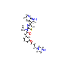 O=C(Cc1cccc(OCCCN2CCNCC2)c1)N(c1nc(-c2c[nH]c3ncccc23)cs1)C1CC1